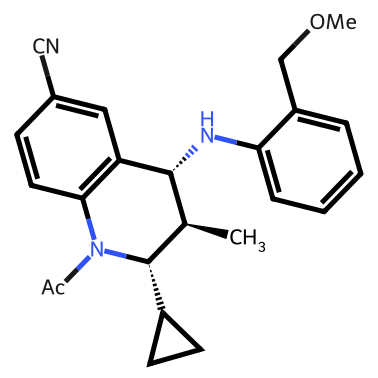 COCc1ccccc1N[C@H]1c2cc(C#N)ccc2N(C(C)=O)[C@@H](C2CC2)[C@@H]1C